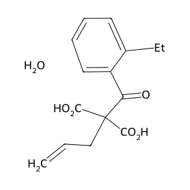 C=CCC(C(=O)O)(C(=O)O)C(=O)c1ccccc1CC.O